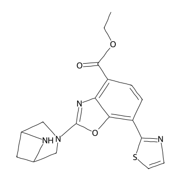 CCOC(=O)c1ccc(-c2nccs2)c2oc(N3CC4CC(C3)N4)nc12